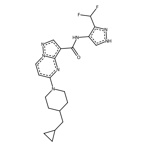 O=C(Nc1c[nH]nc1C(F)F)c1cnn2ccc(N3CCC(CC4CC4)CC3)nc12